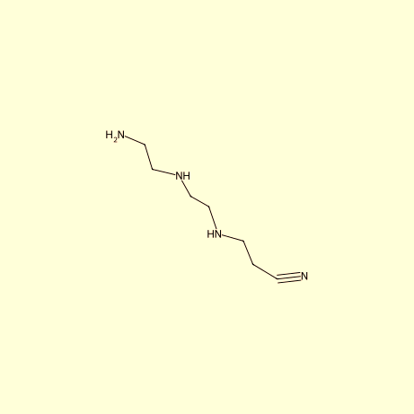 N#CCCNCCNCCN